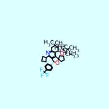 CC1(C)Cc2nc(C3CCC3)c3c(c2[C@@H](O[Si](C)(C)C(C)(C)C)C1)C1(CCCC1)O[C@@H]3c1ccc(C(F)(F)F)cc1